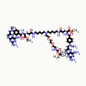 COC(=O)[C@H](CCC(=O)NCCCCCN(CCCCCNC(=O)CC[C@@H](NC(=O)c1ccc(N(C)Cc2cnc3nc(N)nc(N)c3n2)cc1)C(=O)OC)CCOCCOCCNC(=O)OC(C)(C)C)NC(=O)c1ccc(N(N)Cc2cnc3nc(N)nc(N)c3n2)cc1